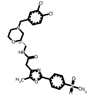 Cc1oc(-c2ccc(S(C)(=O)=O)cc2)nc1CC(=O)NC[C@H]1CN(Cc2ccc(Cl)c(Cl)c2)CCO1